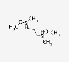 CO[SiH](C)CCC[SiH](C)OC